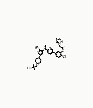 CC(C)c1nn(C2CCN(CC(C)(C)O)CC2)cc1Nc1ncc(-c2ccc(Cl)c(O[C@@H](C)Cn3cnnn3)c2)cn1